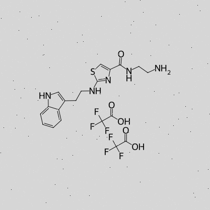 NCCNC(=O)c1csc(NCCc2c[nH]c3ccccc23)n1.O=C(O)C(F)(F)F.O=C(O)C(F)(F)F